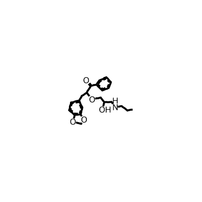 CCCNCC(O)COC(Cc1ccc2c(c1)OCO2)C(=O)c1ccccc1